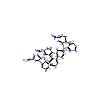 N#Cc1ccc2c(c1)c1ccccc1n2-c1c(C#N)cccc1-c1ccccc1-c1ccc(-n2c3ccccc3c3ccc(C#N)cc32)cc1